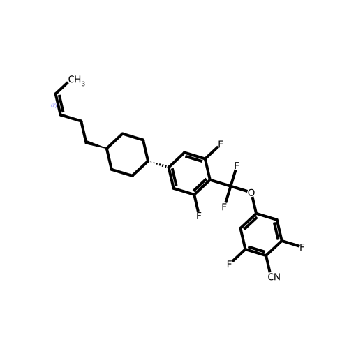 C/C=C\CC[C@H]1CC[C@H](c2cc(F)c(C(F)(F)Oc3cc(F)c(C#N)c(F)c3)c(F)c2)CC1